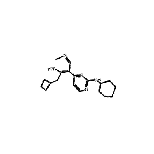 CCC/C(CC1CCC1)=C(\C=N/C)c1ccnc(NC2CCCCC2)n1